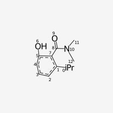 CC(C)c1cccc(O)c1C(=O)N(C)C